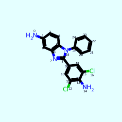 Nc1ccc2c(c1)nc(-c1cc(Cl)c(N)c(Cl)c1)n2-c1ccccc1